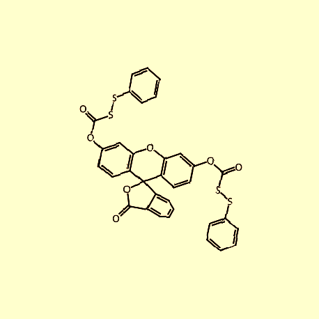 O=C(Oc1ccc2c(c1)Oc1cc(OC(=O)SSc3ccccc3)ccc1C21OC(=O)c2ccccc21)SSc1ccccc1